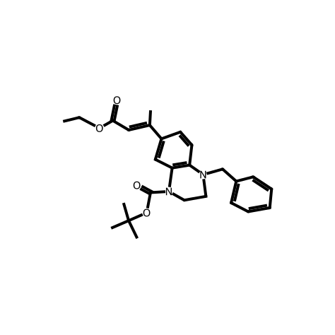 CCOC(=O)C=C(C)c1ccc2c(c1)N(C(=O)OC(C)(C)C)CCN2Cc1ccccc1